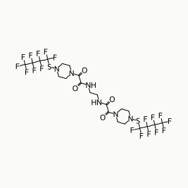 O=C(NCCNC(=O)C(=O)N1CCN(SC(F)(F)C(F)(F)C(F)(F)C(F)(F)F)CC1)C(=O)N1CCN(SC(F)(F)C(F)(F)C(F)(F)C(F)(F)F)CC1